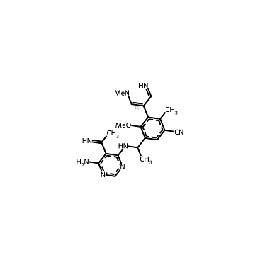 CN/C=C(\C=N)c1c(C)c(C#N)cc(C(C)Nc2ncnc(N)c2C(C)=N)c1OC